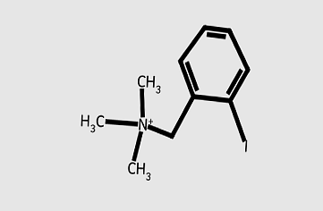 C[N+](C)(C)Cc1ccccc1I